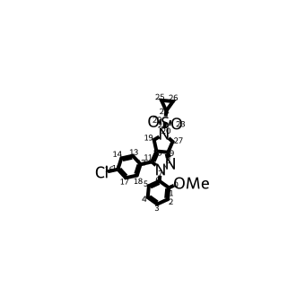 COc1ccccc1-n1nc2c(c1-c1ccc(Cl)cc1)CN(S(=O)(=O)C1CC1)C2